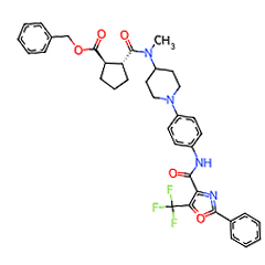 CN(C(=O)[C@@H]1CCC[C@H]1C(=O)OCc1ccccc1)C1CCN(c2ccc(NC(=O)c3nc(-c4ccccc4)oc3C(F)(F)F)cc2)CC1